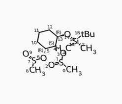 CS(=O)O[C@@H]1[C@H](OS(C)=O)CCC[C@H]1O[Si](C)(C)C(C)(C)C